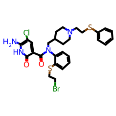 Nc1[nH]c(=O)c(C(=O)N(CC2CCN(CCSc3ccccc3)CC2)c2ccccc2SCCBr)cc1Cl